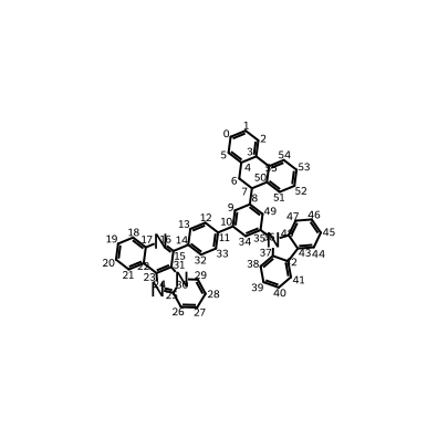 c1ccc2c(c1)CC(c1cc(-c3ccc(-c4nc5ccccc5c5nc6ccccn6c45)cc3)cc(-n3c4ccccc4c4ccccc43)c1)c1ccccc1-2